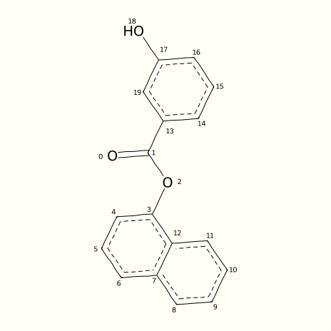 O=C(Oc1cccc2ccccc12)c1cccc(O)c1